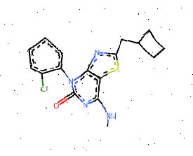 CNc1nc(=O)n(-c2ccccc2Cl)c2nc(CC3CCC3)sc12